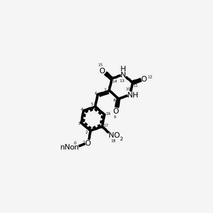 CCCCCCCCCOc1ccc(C=C2C(=O)NC(=O)NC2=O)cc1[N+](=O)[O-]